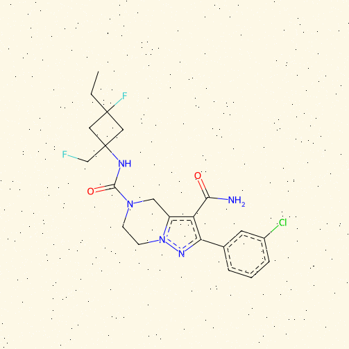 CCC1(F)CC(CF)(NC(=O)N2CCn3nc(-c4cccc(Cl)c4)c(C(N)=O)c3C2)C1